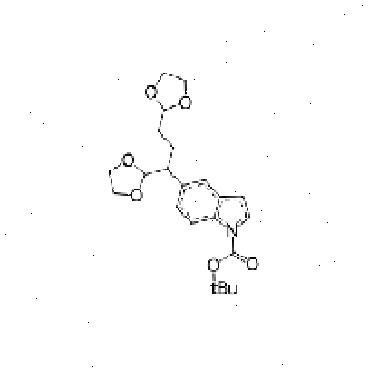 CC(C)(C)OC(=O)n1ccc2cc(C(CCC3OCCO3)C3OCCO3)ccc21